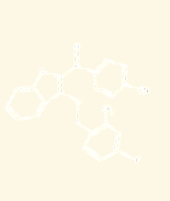 N#Cc1ccc(C(=O)c2sc3ccccc3c2OCc2ccc(F)cc2C(F)(F)F)cc1